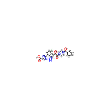 COC(=O)c1c[nH]c(-c2ccc(F)c3c(C(=O)C(=O)N4CCN(C(=O)c5ccccc5)CC4)c[nH]c23)n1